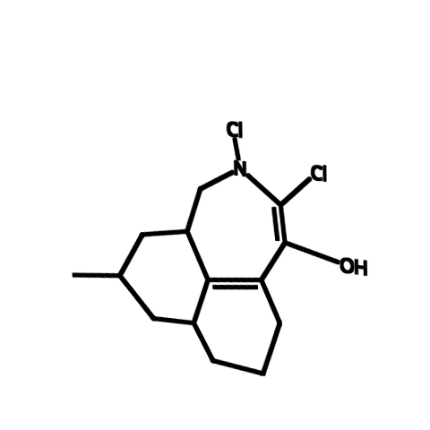 CC1CC2CCCC3=C2C(C1)CN(Cl)C(Cl)=C3O